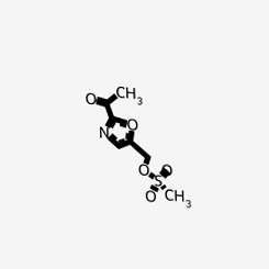 CC(=O)c1ncc(COS(C)(=O)=O)o1